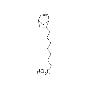 O=C(O)CCCCCCCC1CC2C=CC1C2